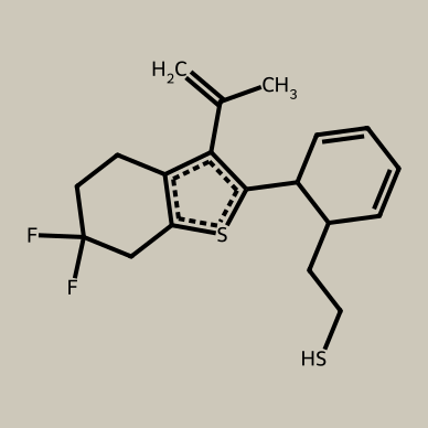 C=C(C)c1c(C2C=CC=CC2CCS)sc2c1CCC(F)(F)C2